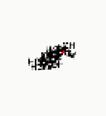 CC(C)CC[C@@H](O)[C@](C)(O)[C@H]1CC[C@@]2(O)C3=CC(=O)[C@@H]4C[C@@H](O[C@@H]5O[C@H](CO)[C@@H](O)[C@H](O)[C@H]5O)[C@@H](O)C[C@]4(C)[C@H]3CC[C@]12C